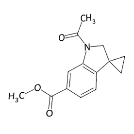 COC(=O)c1ccc2c(c1)N(C(C)=O)CC21CC1